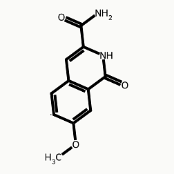 COc1[c]cc2cc(C(N)=O)[nH]c(=O)c2c1